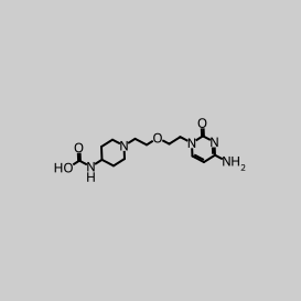 Nc1ccn(CCOCCN2CCC(NC(=O)O)CC2)c(=O)n1